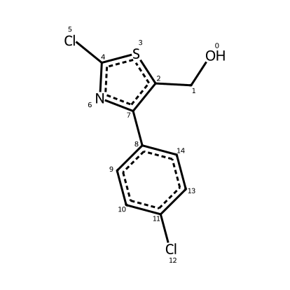 OCc1sc(Cl)nc1-c1ccc(Cl)cc1